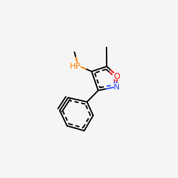 CPc1c(-c2c#cccc2)noc1C